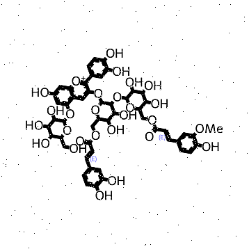 COc1cc(/C=C/C(=O)OCC2OC(OC3C(Oc4cc5c(OC6OC(CO)C(O)C(O)C6O)cc(O)cc5[o+]c4-c4ccc(O)c(O)c4)OC(COC(=O)/C=C/c4ccc(O)c(O)c4)C(O)C3O)C(O)C(O)C2O)ccc1O